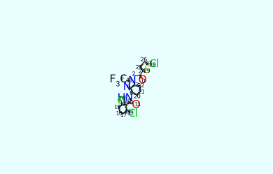 O=C(Cn1c(C(F)(F)F)nc2c(NC(=O)c3c(Cl)cccc3Cl)cccc21)c1ccc(Cl)s1